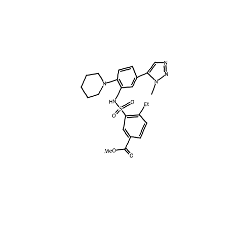 CCc1ccc(C(=O)OC)cc1S(=O)(=O)Nc1cc(-c2cnnn2C)ccc1N1CCCCC1